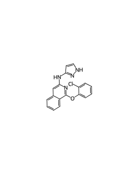 Clc1ccccc1Oc1nc(Nc2cc[nH]n2)cc2ccccc12